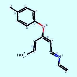 C=C/N=C/C=C(\C=C\C(=O)O)Oc1ccc(C)cc1